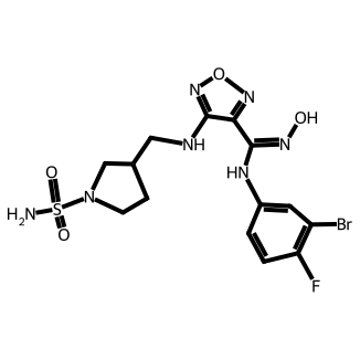 NS(=O)(=O)N1CCC(CNc2nonc2C(=NO)Nc2ccc(F)c(Br)c2)C1